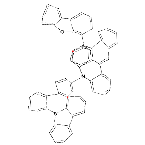 c1ccc(N(c2ccc(-c3ccccc3-n3c4ccccc4c4ccccc43)cc2)c2ccc(-c3cccc4c3oc3ccccc34)cc2)c(-c2cc3ccccc3c3ccccc23)c1